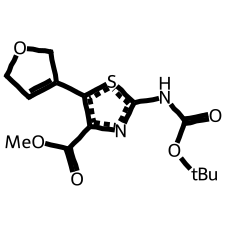 COC(=O)c1nc(NC(=O)OC(C)(C)C)sc1C1=CCOC1